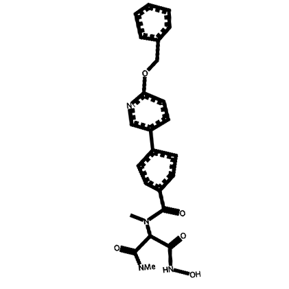 CNC(=O)C(C(=O)NO)N(C)C(=O)c1ccc(-c2ccc(OCc3ccccc3)nc2)cc1